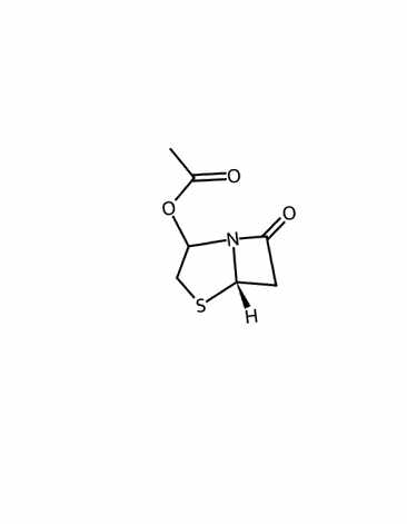 CC(=O)OC1CS[C@H]2CC(=O)N12